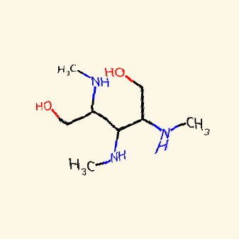 CNC(CO)C(NC)C(CO)NC